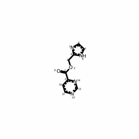 O=C(OCc1ncc[nH]1)c1ccncn1